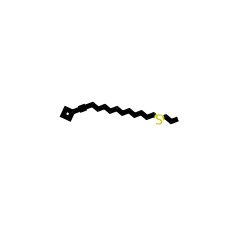 CCCSCCCCCCCCCCCC#CC1CCC1